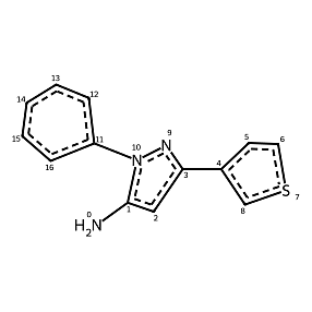 Nc1cc(-c2ccsc2)nn1-c1ccccc1